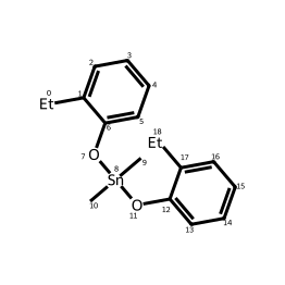 CCc1ccccc1[O][Sn]([CH3])([CH3])[O]c1ccccc1CC